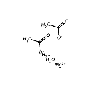 CC(=O)[O-].CC(=O)[O-].O.O.[Mg+2]